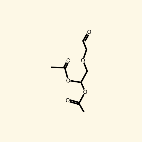 CC(=O)OC(COCC=O)OC(C)=O